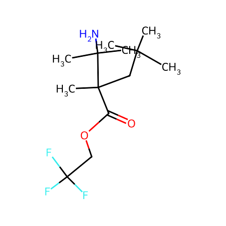 CC(C)(C)CC(C)(C(=O)OCC(F)(F)F)C(C)(C)N